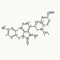 COc1ccc(N(C)CC(C)c2ncnc3c2n(S)c(=O)n3Cc2ccc(Br)cc2)cc1